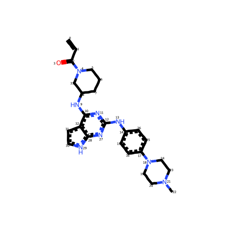 C=CC(=O)N1CCCC(Nc2nc(Nc3ccc(N4CCN(C)CC4)cc3)nc3[nH]ccc23)C1